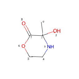 CC1(O)NCCOC1=O